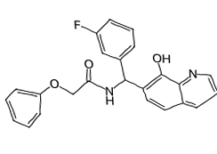 O=C(COc1ccccc1)NC(c1cccc(F)c1)c1ccc2cccnc2c1O